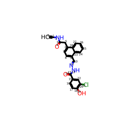 C#CNC(=O)Cc1ccc(/C=N/NC(=O)c2ccc(O)c(Cl)c2)c2ccccc12